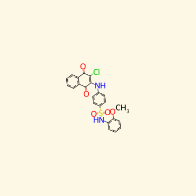 COc1ccccc1NS(=O)(=O)c1ccc(NC2=C(Cl)C(=O)c3ccccc3C2=O)cc1